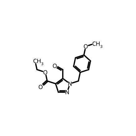 CCOC(=O)c1cnn(Cc2ccc(OC)cc2)c1C=O